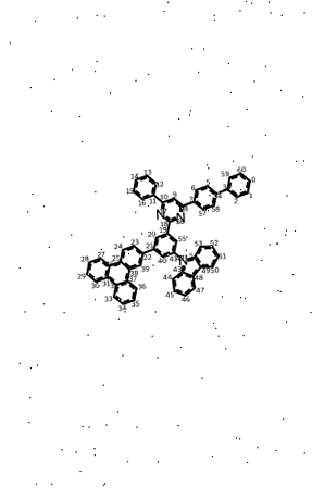 c1ccc(-c2ccc(-c3cc(-c4ccccc4)nc(-c4cc(-c5ccc6c7ccccc7c7ccccc7c6c5)cc(-n5c6ccccc6c6ccccc65)c4)n3)cc2)cc1